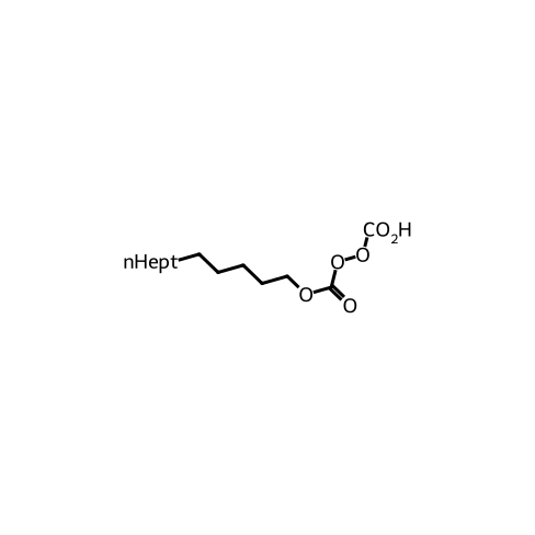 CCCCCCCCCCCCOC(=O)OOC(=O)O